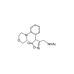 CC(=O)NCC1=NOC(=O)C1c1ccccc1N1CCOCC1